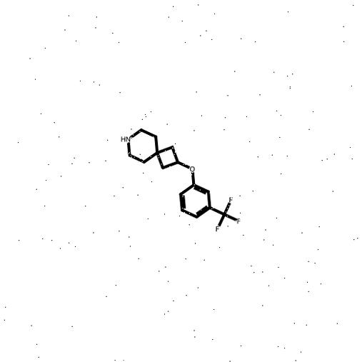 FC(F)(F)c1cccc(OC2CC3(CCNCC3)C2)c1